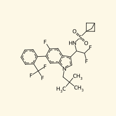 CC(C)(C)Cn1cc(C(NS(=O)(=O)C23CC(C2)C3)C(F)F)c2cc(F)c(-c3ccccc3C(F)(F)F)cc21